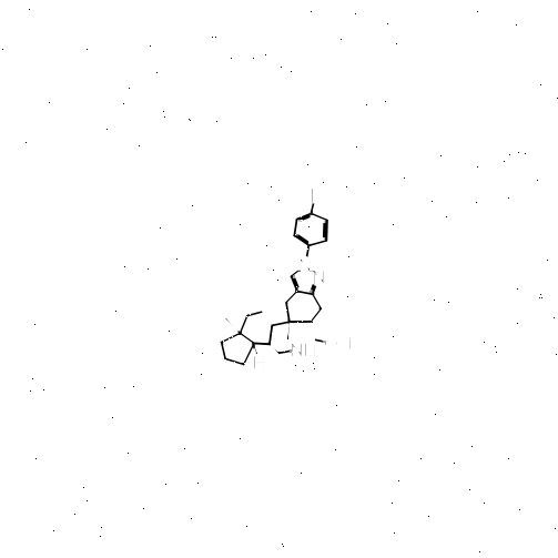 C[C@H]1CC[C@H]2[C@H](CN)[C@@H]([C@]3(C)Cc4cn(-c5ccc(F)cc5)nc4C[C@@H]3CO)CC[C@@]12C